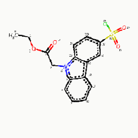 CCOC(=O)Cn1c2ccccc2c2cc(S(=O)(=O)Cl)ccc21